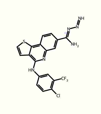 N=N/N=C(\N)c1ccc2c(c1)nc(Nc1ccc(Cl)c(C(F)(F)F)c1)c1ccsc12